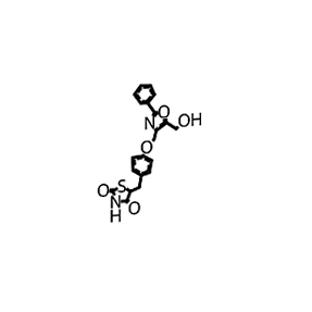 O=C1NC(=O)C(Cc2ccc(OCc3nc(-c4ccccc4)oc3CO)cc2)S1